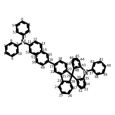 c1ccc(N(c2ccccc2)c2ccc3cc(-c4ccc5c(c4)-c4ccccc4C54c5ccccc5N(c5ccccc5)c5ccccc54)ccc3c2)cc1